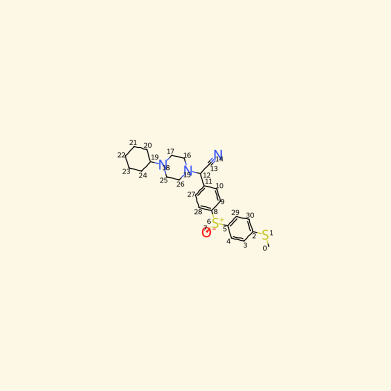 CSc1ccc([S@@+]([O-])c2ccc(C(C#N)N3CCN(C4CCCCC4)CC3)cc2)cc1